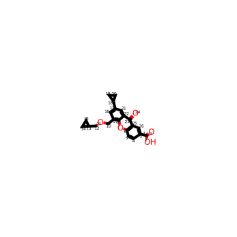 O=C(O)c1ccc2oc3c(COCC4CC4)cc(C4CC4)cc3c(=O)c2c1